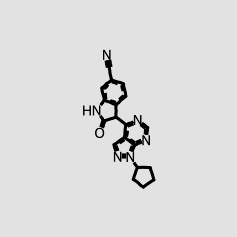 N#Cc1ccc2c(c1)NC(=O)C2c1ncnc2c1cnn2C1CCCC1